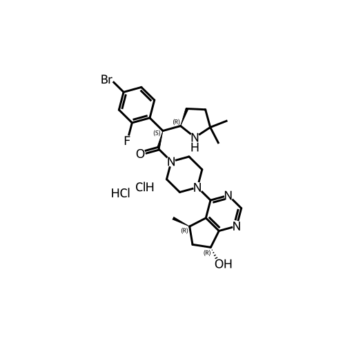 C[C@@H]1C[C@@H](O)c2ncnc(N3CCN(C(=O)[C@@H](c4ccc(Br)cc4F)[C@H]4CCC(C)(C)N4)CC3)c21.Cl.Cl